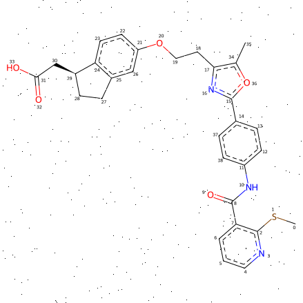 CSc1ncccc1C(=O)Nc1ccc(-c2nc(CCOc3ccc4c(c3)CC[C@H]4CC(=O)O)c(C)o2)cc1